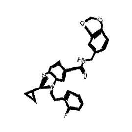 O=C(NCc1ccc2c(c1)OCO2)c1ccc2nc(C3CC3)n(Cc3ccccc3F)c2c1